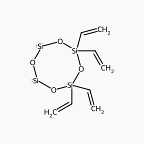 C=C[Si]1(C=C)O[Si]O[Si]O[Si](C=C)(C=C)O1